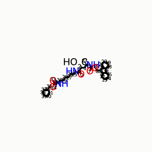 O=C(CC[C@H](NC(=O)OCC1c2ccccc2-c2ccccc21)C(=O)O)NCCCCCCNC(=O)OCc1ccccc1